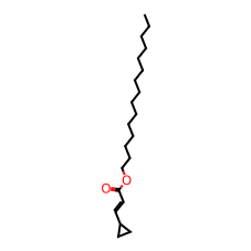 CCCCCCCCCCCCCCCOC(=O)C=CC1CC1